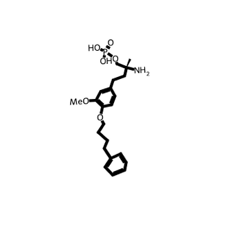 COc1cc(CC[C@@](C)(N)COP(=O)(O)O)ccc1OCCCCc1ccccc1